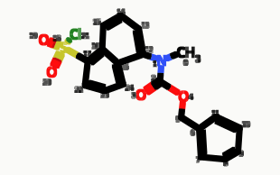 CN(C(=O)OCc1ccccc1)c1cccc2c(S(=O)(=O)Cl)cccc12